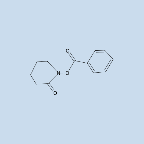 O=C(ON1CCCCC1=O)c1ccccc1